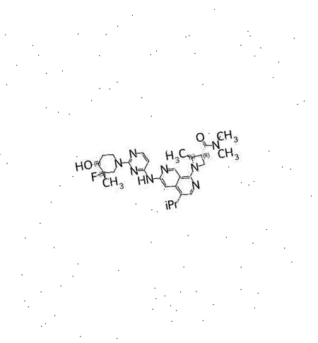 CC(C)c1cnc(N2C[C@@H](C(=O)N(C)C)[C@@H]2C)c2cnc(Nc3ccnc(N4CC[C@@H](O)[C@@](C)(F)C4)n3)cc12